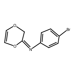 Brc1ccc(N=C2COC=CO2)cc1